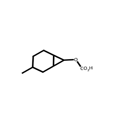 CC1CCC2C(C1)C2OC(=O)O